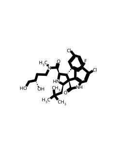 CN(CC[C@H](O)CO)C(=O)[C@@H]1N[C@H](CC(C)(C)C)[C@]2(C(=O)Nc3cc(Cl)c(F)cc32)[C@H]1c1cccc(Cl)c1